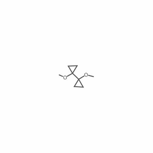 COC1(C2(OC)CC2)CC1